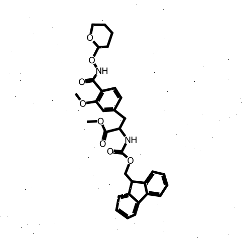 COC(=O)C(Cc1ccc(C(=O)NOC2CCCCO2)c(OC)c1)NC(=O)OCC1c2ccccc2-c2ccccc21